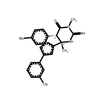 CN1C(=N)N[C@](C)(c2cc(-c3cccc(C#N)c3)cs2)[C@H](c2ccc(C(C)(C)C)cc2)C1=O